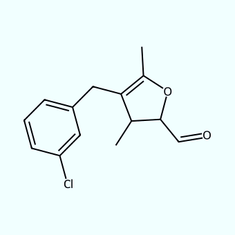 CC1=C(Cc2cccc(Cl)c2)C(C)C(C=O)O1